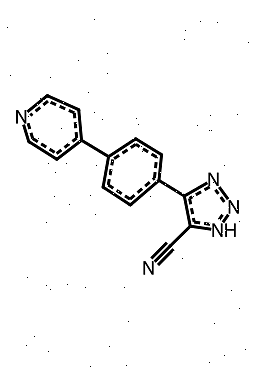 N#Cc1[nH]nnc1-c1ccc(-c2ccncc2)cc1